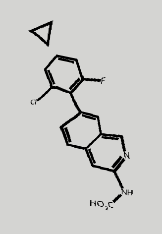 C1CC1.O=C(O)Nc1cc2ccc(-c3c(F)cccc3Cl)cc2cn1